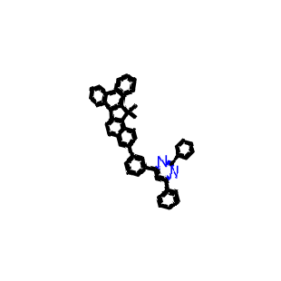 CC1(C)c2c(ccc3cc(-c4cccc(-c5cc(-c6ccccc6)nc(-c6ccccc6)n5)c4)ccc23)-c2c1c1ccccc1c1ccccc21